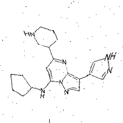 c1n[nH]cc1-c1cnn2c(NC3CCCC3)cc(C3CCCNC3)nc12